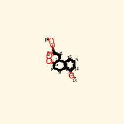 COC(=O)CC1C(=O)CCc2c(OC)cccc21